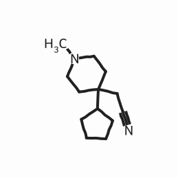 CN1CCC(CC#N)(C2CCCC2)CC1